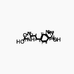 OC1NC(CCc2ccc3c(c2)nnn3O)=NO1